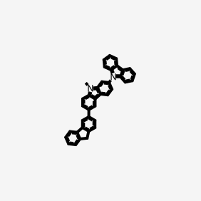 Cn1c2ccc(-c3ccc4c(c3)-c3ccccc3C4)cc2c2ccc(-n3c4ccccc4c4ccccc43)cc21